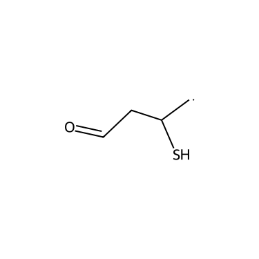 [CH2]C(S)CC=O